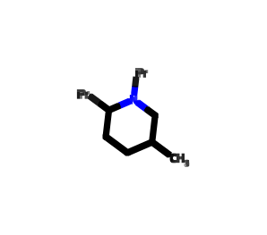 CC1CCC(C(C)C)N(C(C)C)C1